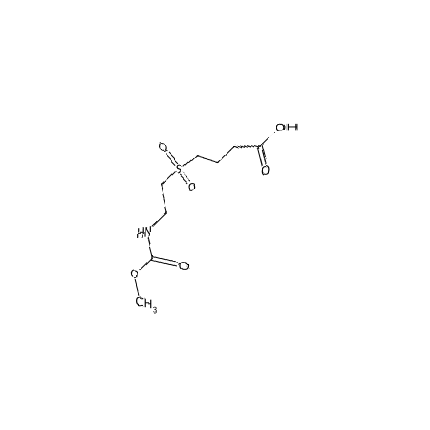 COC(=O)NCCS(=O)(=O)CCCC(=O)O